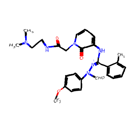 Cc1ccccc1/C(=N\N(C=O)c1ccc(OC(F)(F)F)cc1)Nc1cccn(CC(=O)NCCN(C)C)c1=O